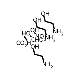 CC(=O)O.NCCO.NCCO.NCCO.O=CO.O=[N+]([O-])O